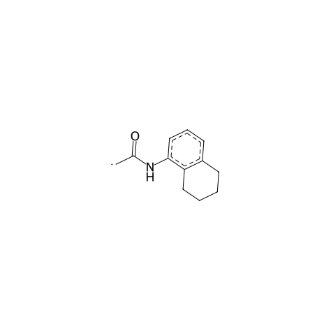 [CH2]C(=O)Nc1cccc2c1CCCC2